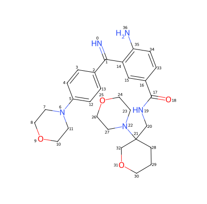 N=C(c1ccc(N2CCOCC2)cc1)c1cc(C(=O)NCC2(N3CCOCC3)CCCOC2)ccc1N